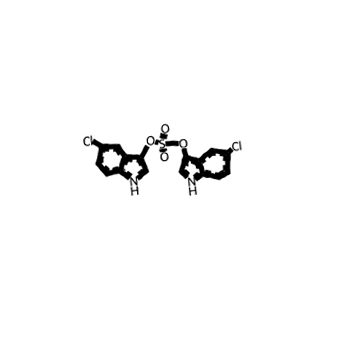 O=S(=O)(Oc1c[nH]c2ccc(Cl)cc12)Oc1c[nH]c2ccc(Cl)cc12